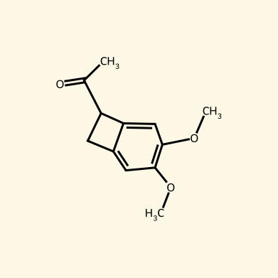 COc1cc2c(cc1OC)C(C(C)=O)C2